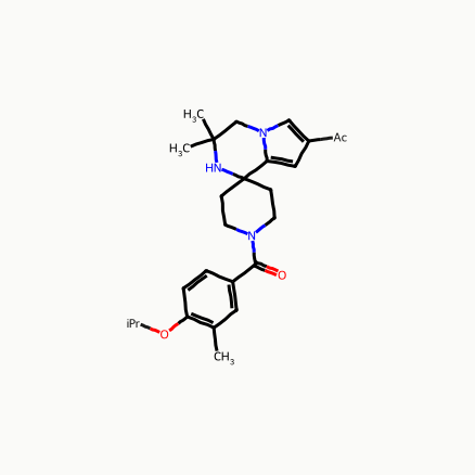 CC(=O)c1cc2n(c1)CC(C)(C)NC21CCN(C(=O)c2ccc(OC(C)C)c(C)c2)CC1